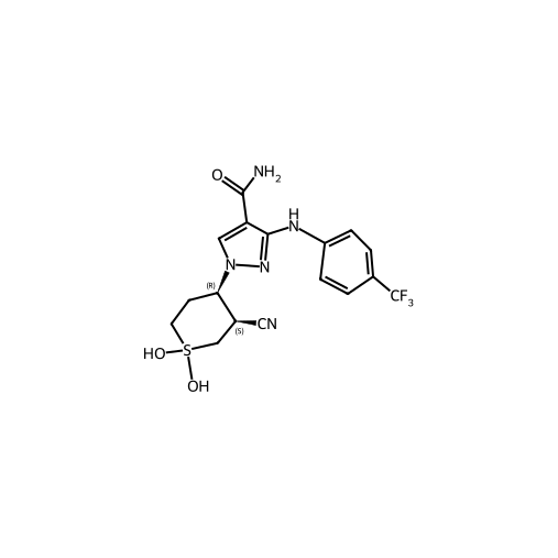 N#C[C@H]1CS(O)(O)CC[C@H]1n1cc(C(N)=O)c(Nc2ccc(C(F)(F)F)cc2)n1